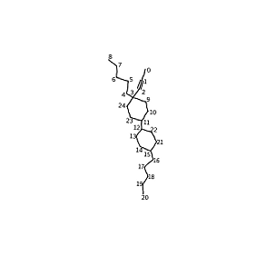 CC#CC1(CCCCC)CCC(C2CCC(CCCCC)CC2)CC1